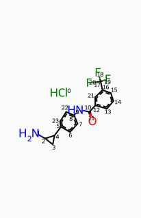 Cl.NC1CC1c1ccc(NC(=O)c2cccc(C(F)(F)F)c2)cc1